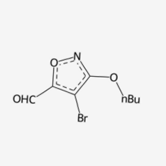 CCCCOc1noc(C=O)c1Br